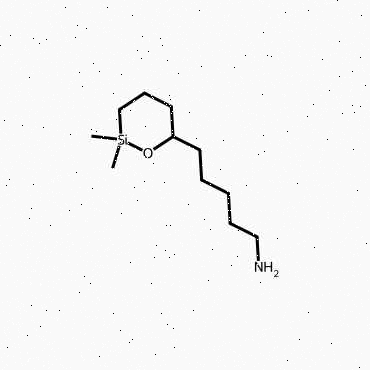 C[Si]1(C)CCCC(CCCCCN)O1